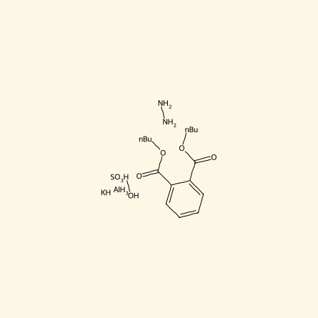 CCCCOC(=O)c1ccccc1C(=O)OCCCC.NN.O=S(=O)(O)O.[AlH3].[KH]